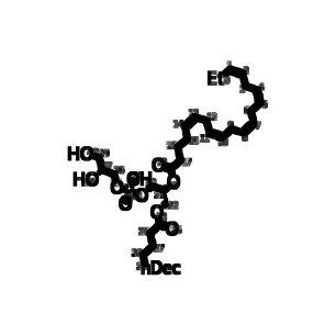 CC/C=C\C/C=C\C/C=C\C/C=C\C/C=C\CCCC(=O)O[C@H](COC(=O)CCCCCCCCCCCCC)COP(=O)(O)OC[C@@H](O)CO